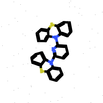 c1cc(N2c3ccccc3Sc3ccccc32)nc(N2c3ccccc3Sc3ccccc32)c1